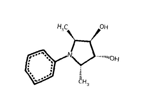 C[C@H]1[C@@H](O)[C@H](O)[C@H](C)N1c1ccccc1